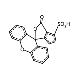 O=C1OC2(c3ccccc3Oc3ccccc32)c2cccc(S(=O)(=O)O)c21